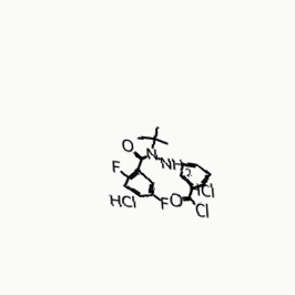 CC(C)(C)N(N)C(=O)c1cc(F)ccc1F.Cl.Cl.O=C(Cl)c1ccccc1